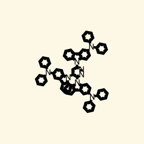 c1ccc(N(c2ccccc2)c2ccc3c(c2)c2ccccc2n3-c2cc(-n3c4ccccc4c4cc(N(c5ccccc5)c5ccccc5)ccc43)c(-n3c4ccccc4c4cc(N(c5ccccc5)c5ccccc5)ccc43)nn2)cc1